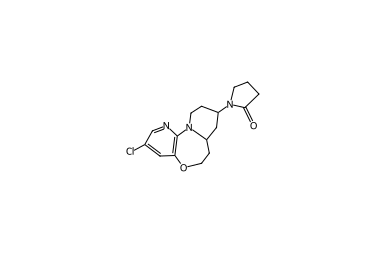 O=C1CCCN1C1CCN2c3ncc(Cl)cc3OCCC2C1